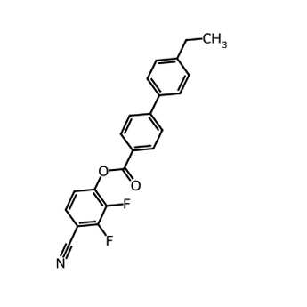 CCc1ccc(-c2ccc(C(=O)Oc3ccc(C#N)c(F)c3F)cc2)cc1